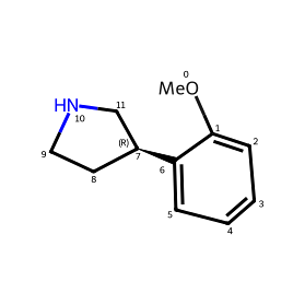 COc1ccccc1[C@H]1CCNC1